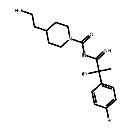 CC(C)C(C)(C(=N)NC(=O)N1CCC(CCO)CC1)c1ccc(Br)cc1